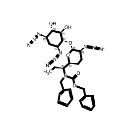 CC[C@@H]([C@@H]1CC[C@H](N=[N+]=[N-])[C@@H](O[C@H]2[C@H](O)[C@@H](O)[C@H](N=[N+]=[N-])C[C@@H]2N=[N+]=[N-])O1)N(Cc1ccccc1)C(=O)OCc1ccccc1